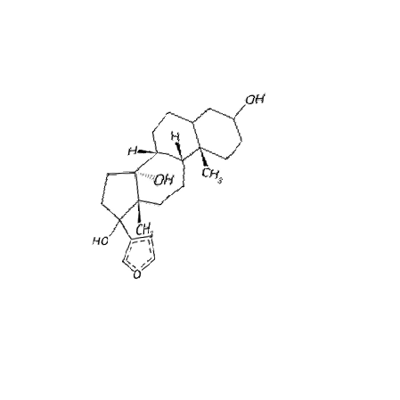 C[C@]12CCC(O)CC1CC[C@@H]1[C@H]2CC[C@]2(C)C(O)(c3ccoc3)CC[C@@]12O